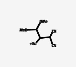 CCC[CH]C(C(C#N)C#N)C(OC)OC